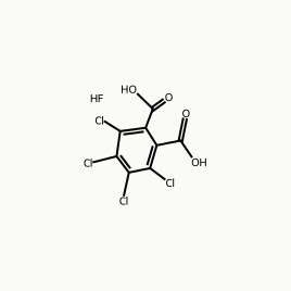 F.O=C(O)c1c(Cl)c(Cl)c(Cl)c(Cl)c1C(=O)O